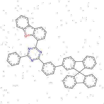 c1ccc(-c2nc(-c3cccc(-c4ccc5c(c4)C4(c6ccccc6-c6ccccc64)c4ccccc4-5)c3)nc(-c3cccc4c3oc3ccccc34)n2)cc1